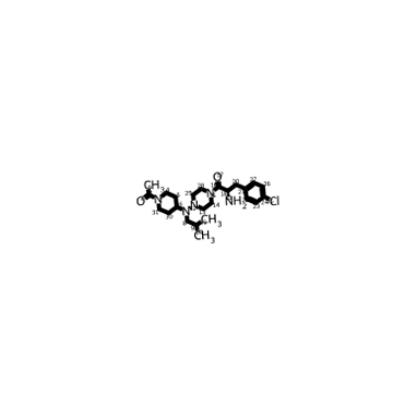 CC(=O)N1CCC(N(CC(C)C)N2CCN(C(=O)[C@H](N)Cc3ccc(Cl)cc3)CC2)CC1